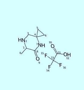 CC1NCC2(CC2)NC1=O.O=C(O)C(F)(F)F